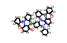 c1ccc(N2c3cc4c(cc3N3c5ccccc5B5c6ccccc6Oc6ccc2c3c65)B2c3ccccc3N3c5ccccc5Oc5ccc(c2c53)O4)cc1